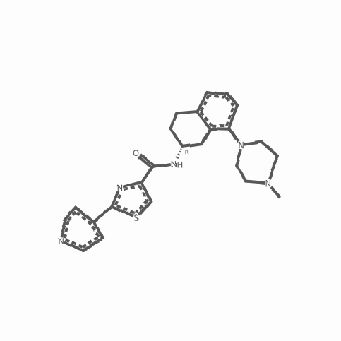 CN1CCN(c2cccc3c2C[C@H](NC(=O)c2csc(-c4ccncc4)n2)CC3)CC1